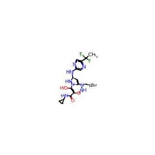 CC(C)(C)CN1NOC(C(=O)NC2CC2)=C(O)N2NC(Nc3cnc(C(C)(F)F)cn3)C=C12